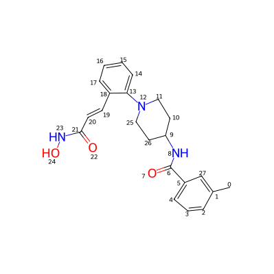 Cc1cccc(C(=O)NC2CCN(c3ccccc3/C=C/C(=O)NO)CC2)c1